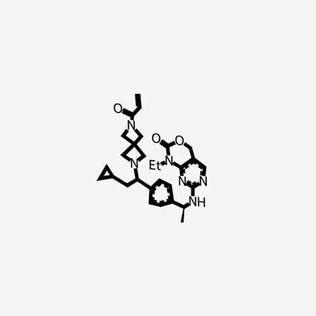 C=CC(=O)N1CC2(C1)CN(C(CC1CC1)c1ccc([C@H](C)Nc3ncc4c(n3)N(CC)C(=O)OC4)cc1)C2